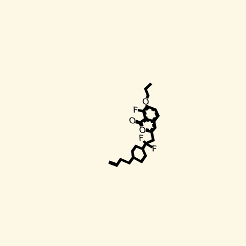 C=CCCC1CCC(C(F)(F)Cc2cc3ccc(OCCC)c(F)c3c(=O)o2)CC1